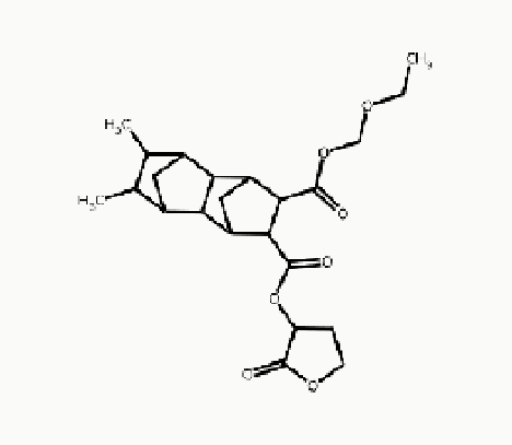 CCOCOC(=O)C1C2CC(C1C(=O)OC1CCOC1=O)C1C3CC(C(C)C3C)C21